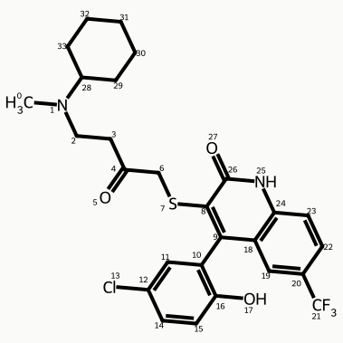 CN(CCC(=O)CSc1c(-c2cc(Cl)ccc2O)c2cc(C(F)(F)F)ccc2[nH]c1=O)C1CCCCC1